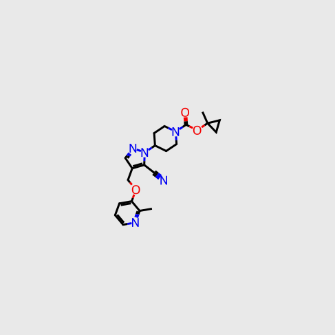 Cc1ncccc1OCc1cnn(C2CCN(C(=O)OC3(C)CC3)CC2)c1C#N